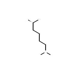 CC(=O)N(O)CCCC[C@H](N)C(=O)O